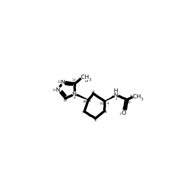 CC(=O)N[C@H]1CCC[C@@H](n2cnnc2C)C1